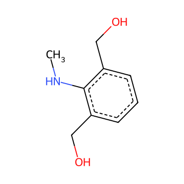 CNc1c(CO)cccc1CO